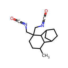 CC1CCC(CN=C=O)(CN=C=O)C2C3CCC(C3)C12